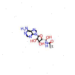 CCC(=O)NC(O)[C@H]1O[C@@H](n2cnc3c(N)ncnc32)[C@H](O)[C@@H]1O